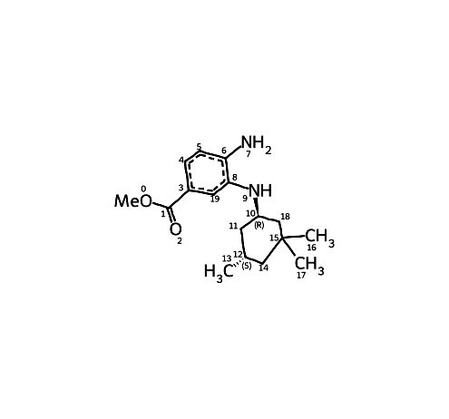 COC(=O)c1ccc(N)c(N[C@@H]2C[C@@H](C)CC(C)(C)C2)c1